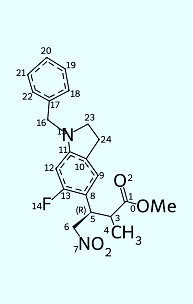 COC(=O)C(C)[C@@H](C[N+](=O)[O-])c1cc2c(cc1F)N(Cc1ccccc1)CC2